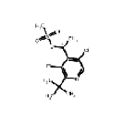 C[C@H](OS(C)(=O)=O)c1c(Cl)cnc(C(C)(C)C)c1Cl